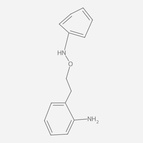 Nc1ccccc1CCONc1ccccc1